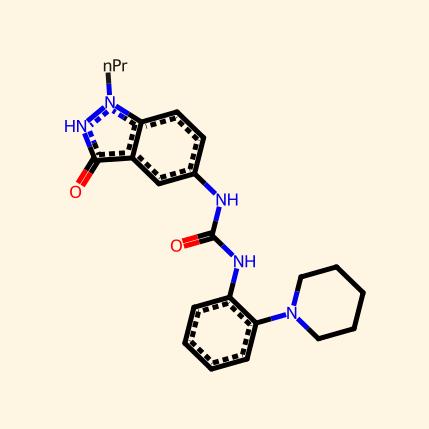 CCCn1[nH]c(=O)c2cc(NC(=O)Nc3ccccc3N3CCCCC3)ccc21